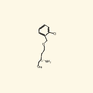 N[C@H](CO)CCOCc1ccccc1Cl